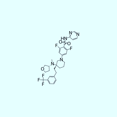 CN([C@@H]1CCOC1)[C@@]1(CCc2cccc(C(F)(F)F)c2)CCCN(c2cc(F)c(S(=O)(=O)Nc3ccncn3)c(F)c2)C1